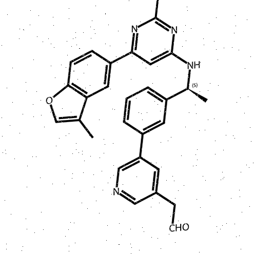 Cc1nc(N[C@@H](C)c2cccc(-c3cncc(CC=O)c3)c2)cc(-c2ccc3occ(C)c3c2)n1